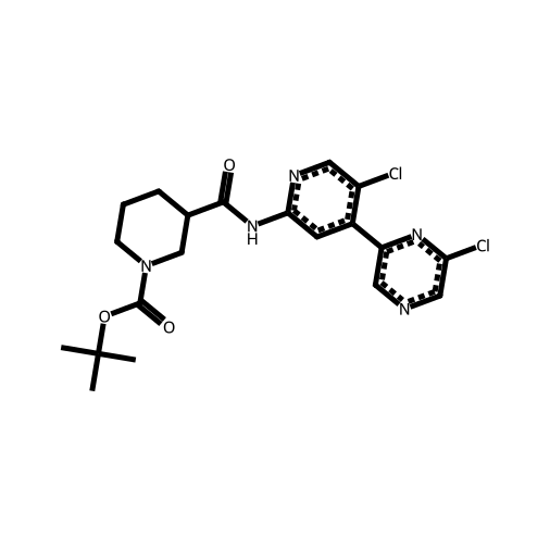 CC(C)(C)OC(=O)N1CCCC(C(=O)Nc2cc(-c3cncc(Cl)n3)c(Cl)cn2)C1